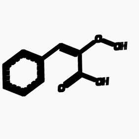 O=C(O)/C(=C\c1ccccc1)OO